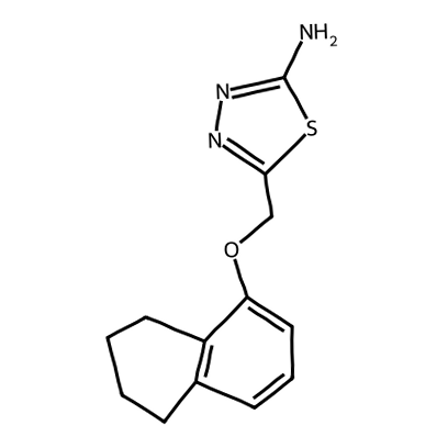 Nc1nnc(COc2cccc3c2CCCC3)s1